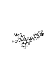 COC(=O)[C@@H]1C[C@@H](O)CN1C(=O)c1ccccc1-c1ccc(OCC2CCN(CC(C)(C)F)CC2)cc1